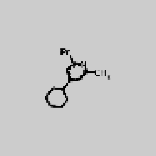 Cc1cc(C2CCCCC2)cc(C(C)C)n1